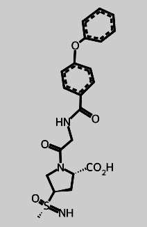 C[S@](=N)(=O)[C@@H]1C[C@@H](C(=O)O)N(C(=O)CNC(=O)c2ccc(Oc3ccccc3)cc2)C1